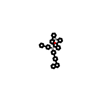 c1ccc(-c2ccc(N(c3ccc(-c4ccc(-c5cccc6ccccc56)cc4)cc3)c3ccc(-c4ccccc4-n4c5ccccc5c5ccccc54)c4ccccc34)cc2)cc1